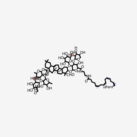 CCCCC/C=C\C/C=C\C/C=C\C/C=C\CCCC(=O)NCCNC(=O)C1OC(O[C@H]2CC[C@@]3(C)C(CC[C@]4(C)C3CC=C3C5CC(C)(C)CC[C@]5(C(=O)OC5OC(C)C(O)C(O)C5OC5OC(C)C(O)C(OC)C5OC5OC(CO)C(O)C(O)C5O)[C@H](O)C[C@]34C)[C@]2(C)C=O)C(OC2OC(CO)C(O)C(O)C2O)C(OC2OCC(O)C(O)C2O)C1O